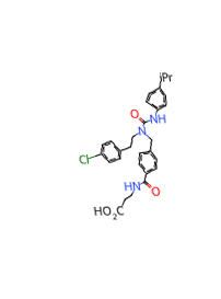 CC(C)c1ccc(NC(=O)N(CCc2ccc(Cl)cc2)Cc2ccc(C(=O)NCCC(=O)O)cc2)cc1